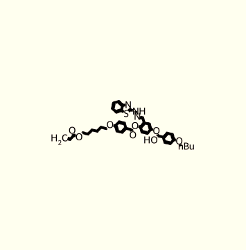 C=CC(=O)OCCCCCCOc1ccc(C(=O)Oc2ccc(OC(O)c3ccc(OCCCC)cc3)cc2/C=N/Nc2nc3ccccc3s2)cc1